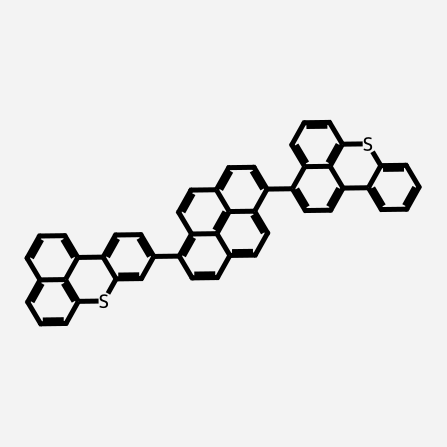 c1ccc2c(c1)Sc1cccc3c(-c4ccc5ccc6c(-c7ccc8c(c7)Sc7cccc9cccc-8c79)ccc7ccc4c5c76)ccc-2c13